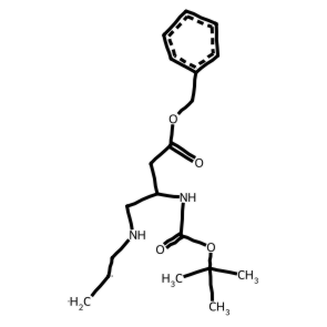 [CH2][CH]CNCC(CC(=O)OCc1ccccc1)NC(=O)OC(C)(C)C